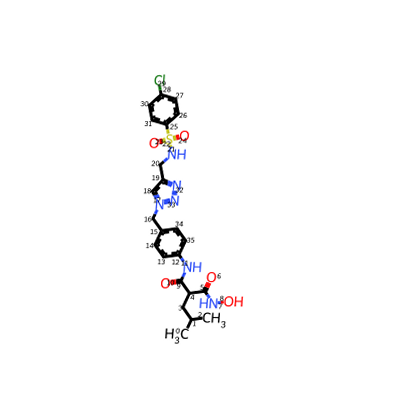 CC(C)CC(C(=O)NO)C(=O)Nc1ccc(Cn2cc(CNS(=O)(=O)c3ccc(Cl)cc3)nn2)cc1